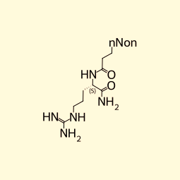 CCCCCCCCCCCC(=O)N[C@@H](CCCNC(=N)N)C(N)=O